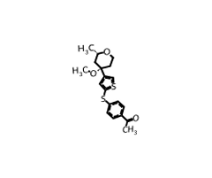 CO[C@@]1(c2csc(Sc3ccc(C(C)=O)cc3)c2)CCO[C@@H](C)C1